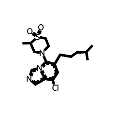 CC(C)CCCc1cc(Cl)c2cncn2c1N1CCS(=O)(=O)C(C)C1